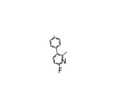 Cc1nc(F)ccc1-c1cc[c]cc1